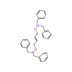 C(=CCON(Cc1ccccc1)Cc1ccccc1)CON(Cc1ccccc1)Cc1ccccc1